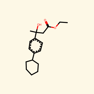 CCOC(=O)CC(C)(O)c1ccc(C2CCCCC2)cc1